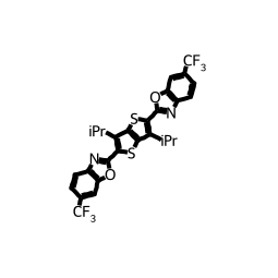 CC(C)c1c(-c2nc3ccc(C(F)(F)F)cc3o2)sc2c(C(C)C)c(-c3nc4ccc(C(F)(F)F)cc4o3)sc12